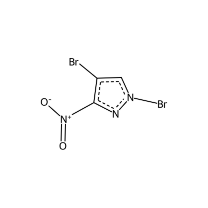 O=[N+]([O-])c1nn(Br)cc1Br